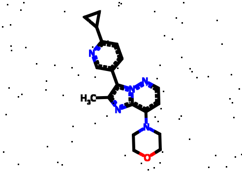 Cc1nc2c(N3CCOCC3)ccnn2c1-c1ccc(C2CC2)nc1